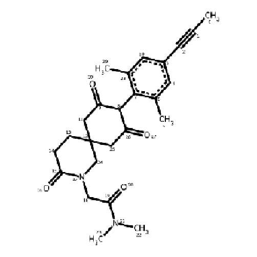 CC#Cc1cc(C)c(C2C(=O)CC3(CCC(=O)N(CC(=O)N(C)C)C3)CC2=O)c(C)c1